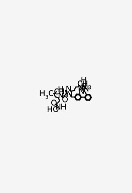 CCCCc1ncc(C(=O)NC(CC(=O)NO)CC(C)C)n1Cc1ccc(-c2ccccc2-c2nn[nH]n2)cc1